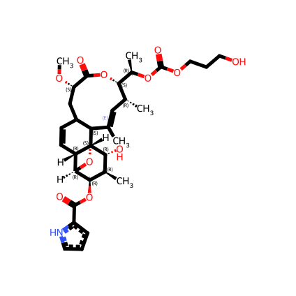 CO[C@H]1CC2C=C[C@H]3[C@H]4O[C@]2(/C(C)=C/[C@@H](C)[C@@H]([C@@H](C)OC(=O)OCCCO)OC1=O)[C@@H]3[C@H](O)[C@@H](C)[C@H]4OC(=O)c1ccc[nH]1